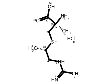 CC(=N)NC[C@H](C)SC[C@](C)(N)C(=O)O.Cl